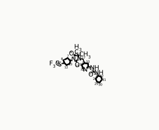 CC1(C)C(=O)N(c2ccc(SC(F)(F)F)cc2)C(=O)N1Cc1ccnc(NC(=O)Nc2ccccc2)c1